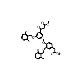 COC(=O)CC(=O)c1cccc(OCc2c(C)cccc2C)c1.COc1ccc(CC(=O)O)cc1OCc1c(C)cccc1C